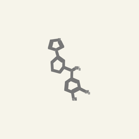 CN(c1ccc(C#N)c(C(F)(F)F)c1)C1C=C(n2ccnc2)CCC1